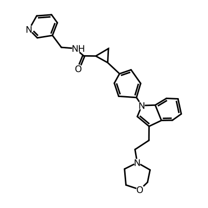 O=C(NCc1cccnc1)C1CC1c1ccc(-n2cc(CCN3CCOCC3)c3ccccc32)cc1